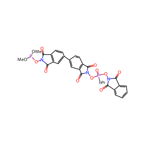 CCCP(=O)(ON1C(=O)c2ccccc2C1=O)ON1C(=O)c2ccc(-c3ccc4c(c3)C(=O)N(OP(OC)OC)C4=O)cc2C1=O